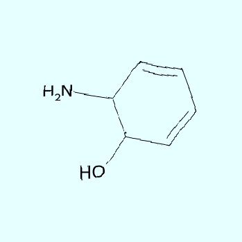 NC1C=CC=C[C]1O